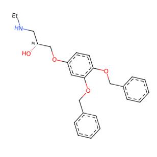 [CH2]CNC[C@@H](O)COc1ccc(OCc2ccccc2)c(OCc2ccccc2)c1